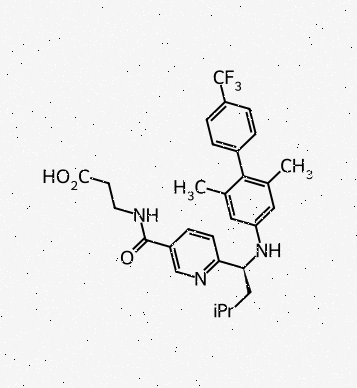 Cc1cc(N[C@@H](CC(C)C)c2ccc(C(=O)NCCC(=O)O)cn2)cc(C)c1-c1ccc(C(F)(F)F)cc1